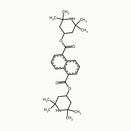 CC1(C)CC(OC(=O)c2cccc3c(C(=O)OC4CC(C)(C)NC(C)(C)C4)cccc23)CC(C)(C)N1